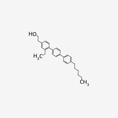 CCCCCCc1ccc(-c2ccc(-c3ccc(CCO)cc3CC)cc2)cc1